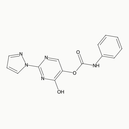 O=C(Nc1ccccc1)Oc1cnc(-n2cccn2)nc1O